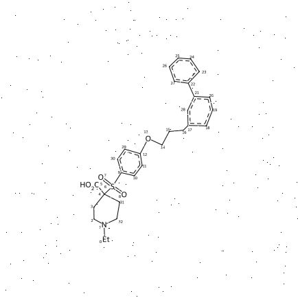 CCN1CCC(C(=O)O)(S(=O)(=O)c2ccc(OCCCc3cccc(-c4ccccc4)c3)cc2)CC1